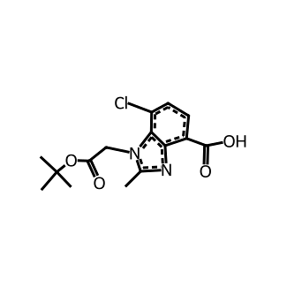 Cc1nc2c(C(=O)O)ccc(Cl)c2n1CC(=O)OC(C)(C)C